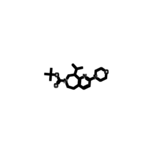 CC(C)C1CN(C(=O)OC(C)(C)C)CCc2ccc(N3CCOCC3)nc21